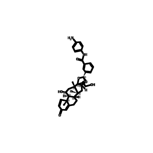 C[C@]12C=CC(=O)C=C1CC[C@@H]1[C@@H]2[C@@H](O)C[C@@]2(C)[C@H]1C[C@H]1O[C@@H](c3cccc(C(=O)Nc4ccc(N)cc4)c3)O[C@]12C(=O)CO